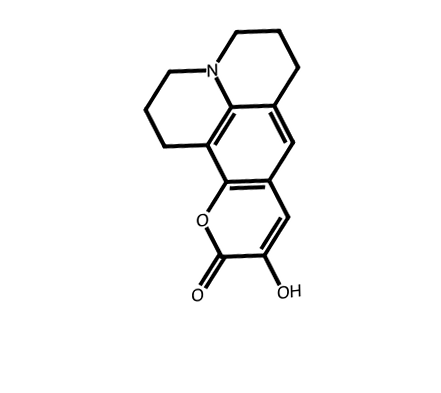 O=c1oc2c3c4c(cc2cc1O)CCCN4CCC3